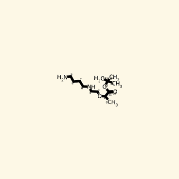 CC(OCCNCCCCN)C(=O)OC(C)(C)C